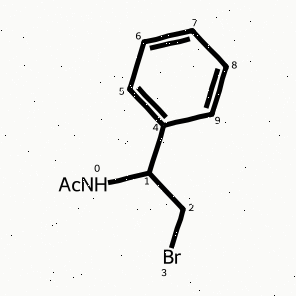 CC(=O)NC(CBr)c1ccccc1